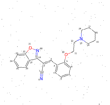 N#CC(=Cc1ccccc1OCCN1CCCCC1)c1noc2ccccc12